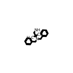 CC(C)(CN)N(Cc1ccccc1)Cc1ccccc1